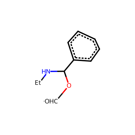 CCNC(O[C]=O)c1ccccc1